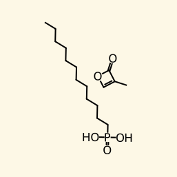 CC1=COC1=O.CCCCCCCCCCCCP(=O)(O)O